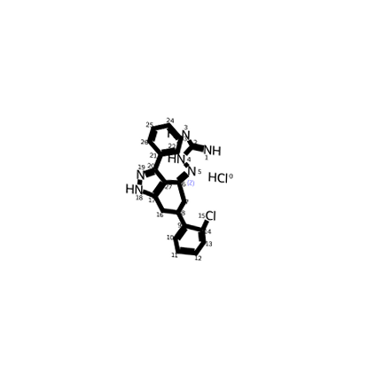 Cl.N=C(N)N/N=C1/CC(c2ccccc2Cl)Cc2[nH]nc(-c3ccccc3)c21